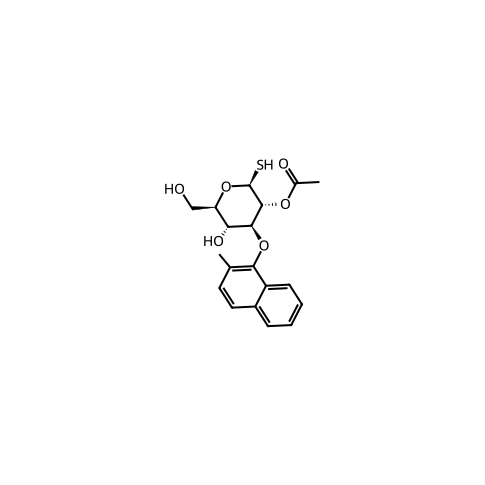 CC(=O)O[C@@H]1[C@@H](Oc2c(C)ccc3ccccc23)[C@H](O)[C@@H](CO)O[C@H]1S